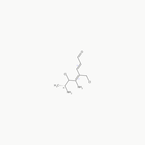 C[C@@H](N)C(Cl)/C(N)=C(\C=C\C=O)CCl